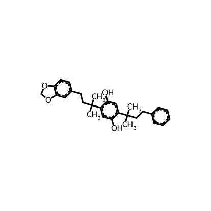 CC(C)(CCc1ccccc1)c1cc(O)c(C(C)(C)CCc2ccc3c(c2)OCO3)cc1O